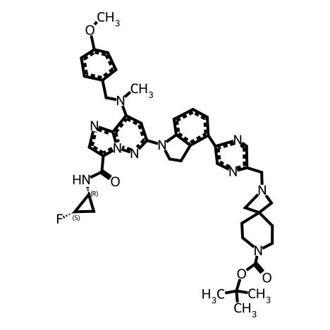 COc1ccc(CN(C)c2cc(N3CCc4c(-c5cnc(CN6CC7(CCN(C(=O)OC(C)(C)C)CC7)C6)cn5)cccc43)nn3c(C(=O)N[C@@H]4C[C@@H]4F)cnc23)cc1